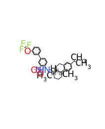 CC(C)c1ccc2c(c1)CC[C@H]1[C@@](C)(CNc3ccc(-c4cccc(OC(F)(F)F)c4)cc3[N+](=O)[O-])CCC[C@]21C